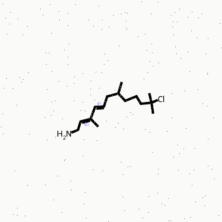 CC(/C=C/CC(C)CCCC(C)(C)Cl)=C\CN